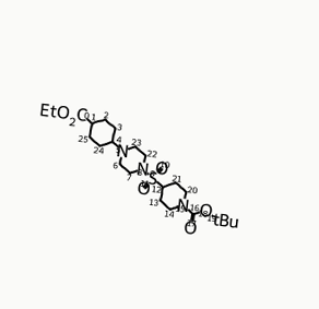 CCOC(=O)C1CCC(N2CCN(S(=O)(=O)C3CCN(C(=O)OC(C)(C)C)CC3)CC2)CC1